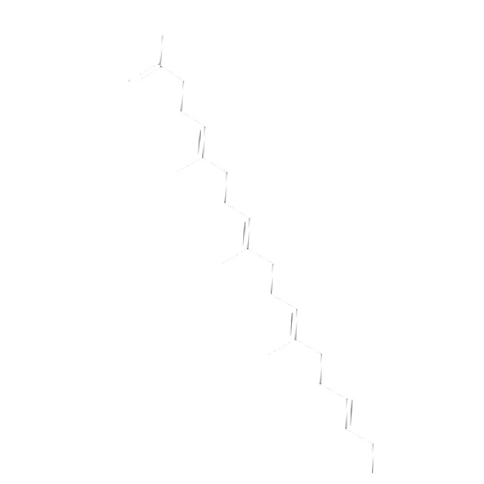 CC/C=C/CC/C(C)=C/CC/C(C)=C/CC/C(C)=C/CCC(C)=O